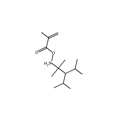 C=C(C)C(=O)O[SiH2]C(C)(C)C(C(C)C)C(C)C